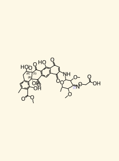 COC(=O)c1c(C)cc2c(c1O)[C@]1(O)C(=O)c3cc4c(c(O)c3C(=O)[C@]1(OC)[C@H](O)C2)C(=O)C=C(NC1OC(C)C(OC)/C(=N/OCC(=O)O)C1OC)C4=O